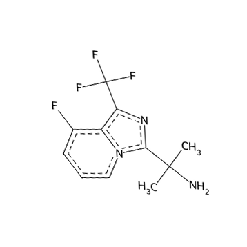 CC(C)(N)c1nc(C(F)(F)F)c2c(F)cccn12